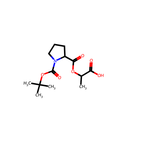 CC(OC(=O)C1CCCN1C(=O)OC(C)(C)C)C(=O)O